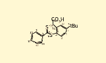 CC(C)(C)c1ccc(SC(=S)c2ccccc2)c(CC(=O)O)c1